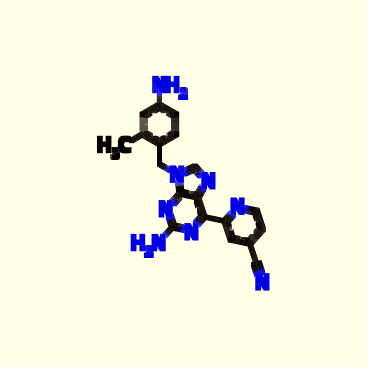 Cc1cc(N)ccc1Cn1cnc2c(-c3cc(C#N)ccn3)nc(N)nc21